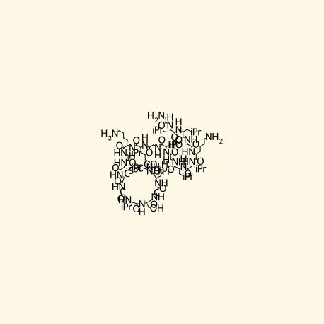 CC(C)CC1NC(=O)CNC(=O)[C@@H](CO)NC(=O)[C@@H](C(C)C)NC(=O)CNC(=O)[C@H](NC(=O)[C@@H](CC(C)C)NC(=O)[C@H](NC(=O)[C@H](CCCCN)NC(=O)C(CCCCN)NC(=O)CNC(=O)[C@H](NC(=O)CNC(=O)[C@H](CC(C)C)NC(=O)[C@H](NC(=O)[C@H](CCCCN)NC(=O)[C@H](CO)NC(=O)C(CC(C)C)NC(=O)[C@H](CC(C)C)NC(=O)CN)C(C)C)C(C)C)C(C)C)CSSC[C@@H](C(=O)O)NC1=O